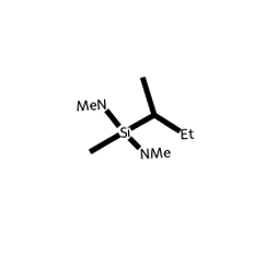 CCC(C)[Si](C)(NC)NC